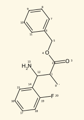 [CH2]C(C(=O)OCc1ccccc1)C(N)c1ccccc1F